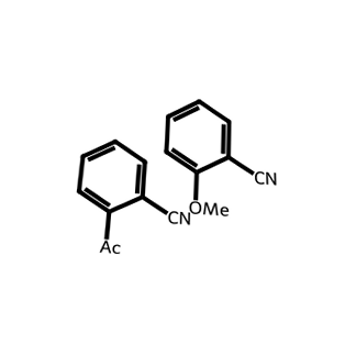 CC(=O)c1ccccc1C#N.COc1ccccc1C#N